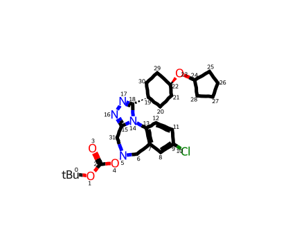 CC(C)(C)OC(=O)ON1Cc2cc(Cl)ccc2-n2c(nnc2[C@H]2CC[C@H](OC3CCCC3)CC2)C1